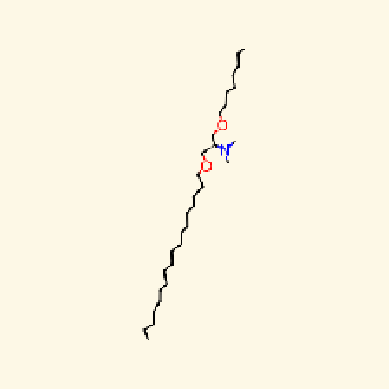 CCCCCCCCCCCCCCCCCCOC[C@@H](COCCCCCCCC)N(C)C